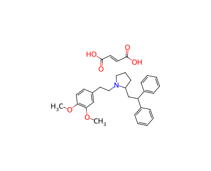 COc1ccc(CCN2CCCC2CC(c2ccccc2)c2ccccc2)cc1OC.O=C(O)/C=C/C(=O)O